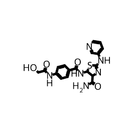 NC(=O)C1N=C(Nc2cccnc2)SC1NC(=O)c1ccc(NC(=O)CO)cc1